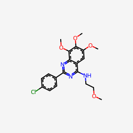 COCCNc1nc(-c2ccc(Cl)cc2)nc2c(OC)c(OC)c(OC)cc12